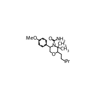 COc1ccc(C2COC(CCC(C)C)C(C)(C)N2C(N)=O)cc1